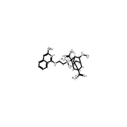 CCCCc1cc2ccccc2c(OCC[N+](C)(C)C2(C(N)=O)C3CC4CC(C(N)=O)(C3)CC2C4OCC)n1